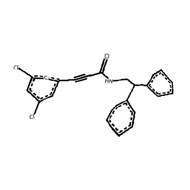 O=C(C#Cc1cc(Cl)cc(Cl)c1)NCC(c1ccccc1)c1ccccc1